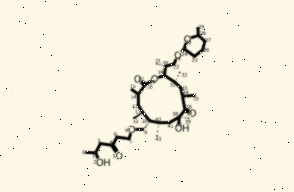 CC(O)CC(=O)CCOC[C@@H]1[C@@H](C)CC(C)C(=O)OC([C@H](C)COC2CCCC(C)O2)[C@H](C)CC(C)C(=O)[C@@](C)(O)C[C@@H]1C